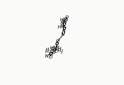 CC1(C)C(NC(=O)c2ccc(OCCCCCN3CCN(c4ccc5c6c([nH]c5c4)C(=O)N(C4CCC(=O)NC4=O)C6)CC3)cc2)C(C)(C)C1Oc1ccc(C#N)c(Cl)c1